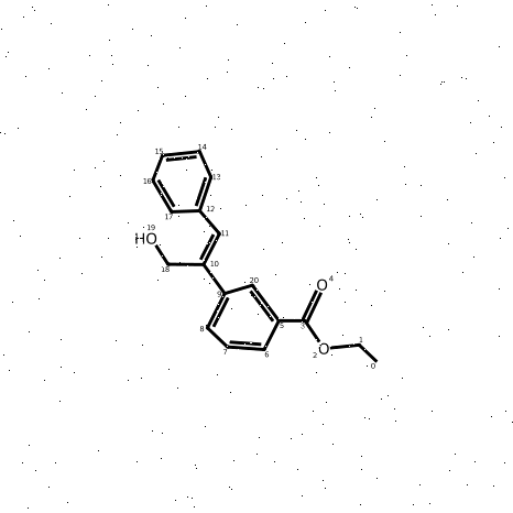 CCOC(=O)c1cccc(C(=Cc2ccccc2)CO)c1